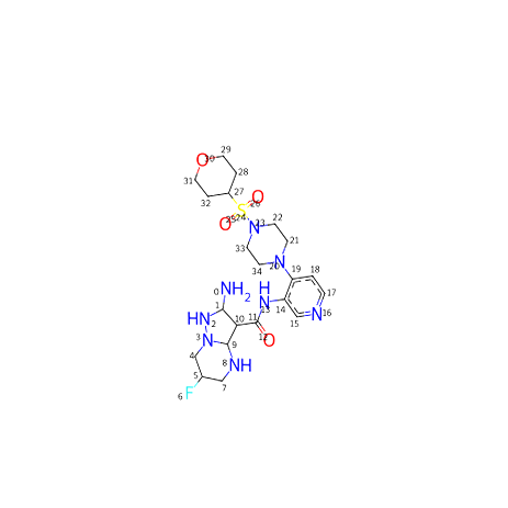 NC1NN2CC(F)CNC2C1C(=O)Nc1cnccc1N1CCN(S(=O)(=O)C2CCOCC2)CC1